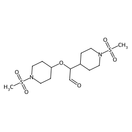 CS(=O)(=O)N1CCC(OC(C=O)C2CCN(S(C)(=O)=O)CC2)CC1